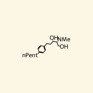 CCCCCc1ccc(CC[C@H](O)[C@@H](CO)NC)cc1